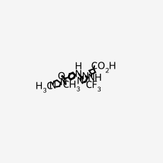 CN1CCC(N(C)C(=O)c2ccc(Nc3ncc(C(F)(F)F)c(NC4CC(C(=O)O)C4)n3)cc2)CC1